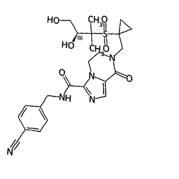 CC(C)([C@@H](O)CO)S(=O)(=O)C1(CN2CCn3c(cnc3C(=O)NCc3ccc(C#N)cc3)C2=O)CC1